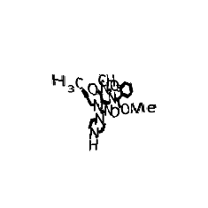 CC#CCn1c(N2CCNCC2)nc2c1c(=O)n(C)c(=O)n2C(C(=O)OC)c1ccccc1